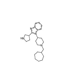 c1ccc2c(c1)nc(C1CCNC1)n2C1CCN(CC2CCCCCC2)CC1